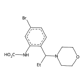 CCC(c1ccc(Br)cc1NC(=O)O)N1CCOCC1